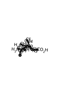 CN(C)CCCC[C@H](NC(=O)[C@@H]1CCCN1C(=O)[C@H](CCC(N)=O)NC(=O)OCc1ccccc1)C(=O)N[C@@H](CCCCNC(=O)C(F)(F)F)C(=O)Nc1ccc2nc(C3=N[C@@H](C(=O)O)CS3)sc2c1